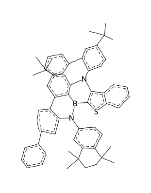 CC(C)(C)c1ccc(N2c3cc(C(C)(C)C)cc4c3B(c3sc5ccccc5c32)N(c2ccc3c(c2)C(C)(C)CCC3(C)C)c2cc(-c3ccccc3)ccc2-4)c(-c2ccccc2)c1